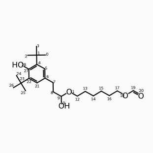 CC(C)(C)c1cc(CCC(O)OCCCCCCOC=O)cc(C(C)(C)C)c1O